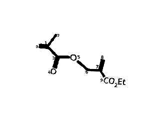 C=C(C)C(=O)OCC(=C)C(=O)OCC